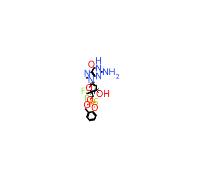 Nc1nc2c(ncn2[C@H]2C[C@@H](O)[C@](COP3(=S)OCc4ccccc4O3)(C(F)F)O2)c(=O)[nH]1